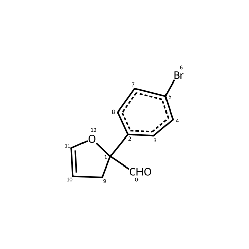 O=CC1(c2ccc(Br)cc2)CC=CO1